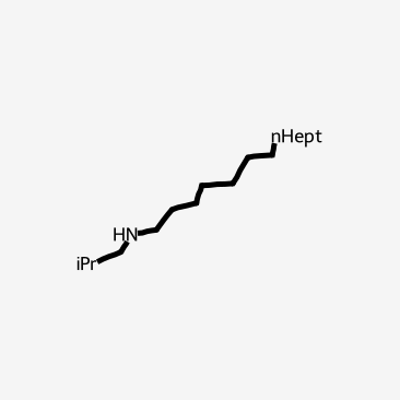 CCCCCCCCCCCCCCNCC(C)C